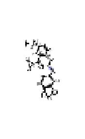 Nc1ccc(C/C=C/c2ccc3c(c2)OCO3)c(C(=O)C2CC2)c1